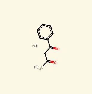 O=C(O)C(=O)CC(=O)c1ccccc1.[Nd]